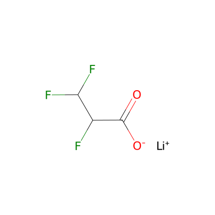 O=C([O-])C(F)C(F)F.[Li+]